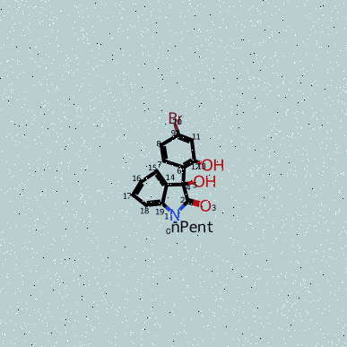 CCCCCN1C(=O)C(O)(c2ccc(Br)cc2O)c2ccccc21